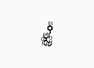 CCc1ccc(CNC(=O)c2c(C)oc3c2C2=NCCN2C=N3)cc1